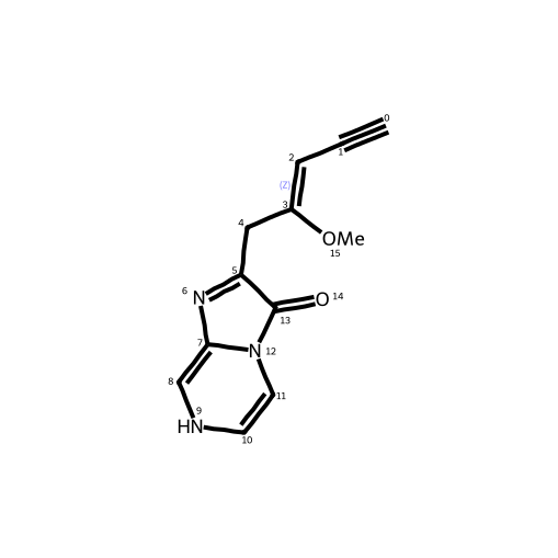 C#C/C=C(/Cc1nc2c[nH]ccn-2c1=O)OC